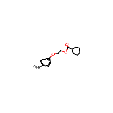 O=Cc1ccc(OCCOC(=O)C2CCCCC2)cc1